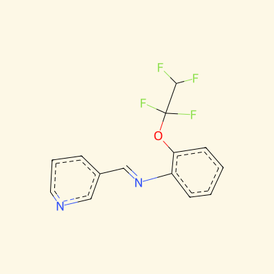 FC(F)C(F)(F)Oc1ccccc1N=Cc1cccnc1